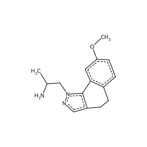 COc1ccc2c(c1)-c1c(cnn1CC(C)N)CC2